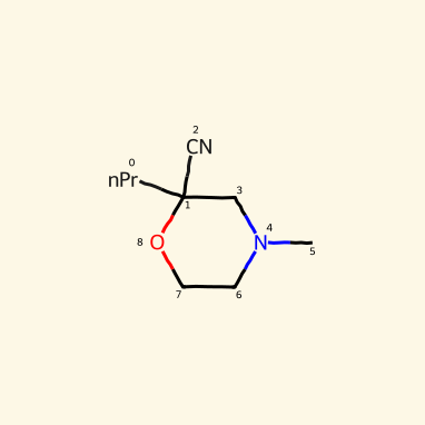 CCCC1(C#N)CN(C)CCO1